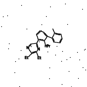 CCCc1c(-c2cnc(CC)c(CC)n2)cccc1-c1ccccc1C